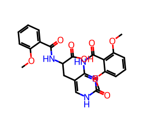 COc1ccccc1C(=O)NC(Cc1c[nH]c(=O)nc1NC(=O)c1c(OC)cccc1OC)C(=O)O